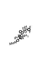 CNC1CC=C(c2cnc(N)c3c(-c4ccc(NC(=O)Nc5cc(F)cc(F)c5)c5ccccc45)nc(C(C)C)n23)CC1